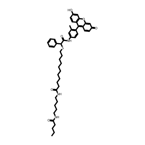 CCCCC(=O)NCCCCCNC(=O)CCCCCCCCCCSC(C(=O)Nc1ccc(-c2c3ccc(=O)cc-3oc3cc(O)ccc23)c(C)c1)c1ccccc1